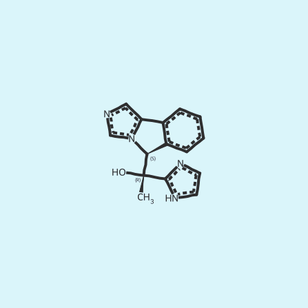 C[C@](O)(c1ncc[nH]1)[C@@H]1c2ccccc2-c2cncn21